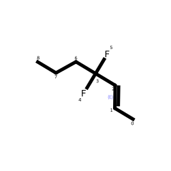 C/C=C/C(F)(F)CCC